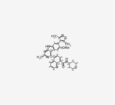 COc1cc2c(cc1-c1c(C)noc1C)[nH]c1nc(C)nc(-c3ccc(C(=O)NC4CCOCC4)c4ncccc34)c12